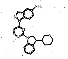 Nc1ccc2c(cnn2-c2ccnc(N3CC(C4CCCNC4)c4ccccc43)n2)c1